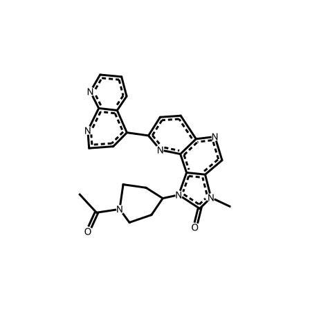 CC(=O)N1CCC(n2c(=O)n(C)c3cnc4ccc(-c5ccnc6ncccc56)nc4c32)CC1